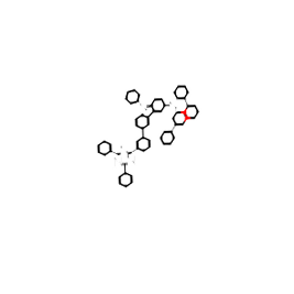 c1ccc(-c2cccc(N(c3ccc4c(c3)c3cc(-c5cccc(-c6nc(-c7ccccc7)nc(-c7ccccc7)n6)c5)ccc3n4-c3ccccc3)c3ccccc3-c3ccccc3)c2)cc1